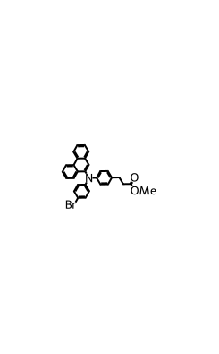 COC(=O)CCc1ccc(N(c2ccc(Br)cc2)c2cc3ccccc3c3ccccc23)cc1